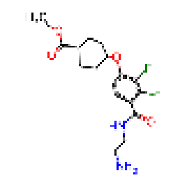 CCOC(=O)[C@H]1CC[C@@H](Oc2ccc(C(=O)NCCN)c(F)c2F)CC1